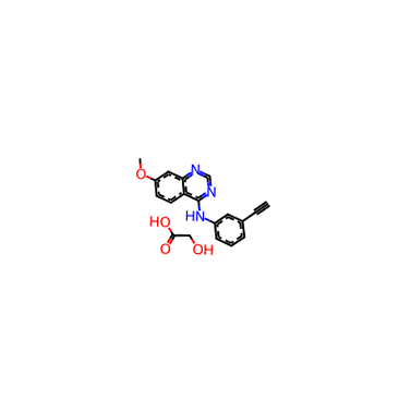 C#Cc1cccc(Nc2ncnc3cc(OC)ccc23)c1.O=C(O)CO